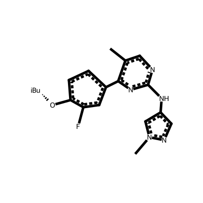 CC[C@@H](C)Oc1ccc(-c2nc(Nc3cnn(C)c3)ncc2C)cc1F